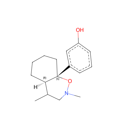 CC1CN(C)O[C@@]2(c3cccc(O)c3)CCCC[C@H]12